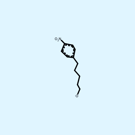 [O]CCCCCc1ccc([N+](=O)[O-])cc1